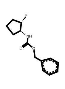 O=C(N[C@@H]1CCC[C@@H]1F)OCc1ccccc1